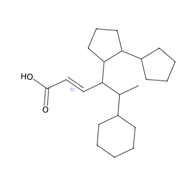 CC(C1CCCCC1)C(/C=C/C(=O)O)C1CCCC1C1CCCC1